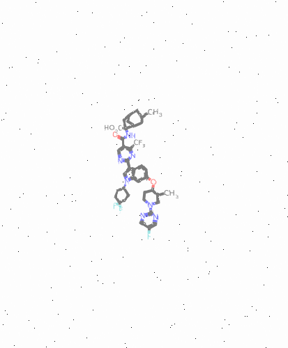 CC1CC2CC(C1)C(NC(=O)c1cnc(-c3cn(C4CCC(F)(F)CC4)c4cc(OC5CCN(c6ncc(F)cn6)CC5C)ccc34)nc1C(F)(F)F)(C(=O)O)C2